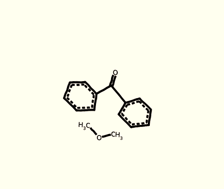 COC.O=C(c1ccccc1)c1ccccc1